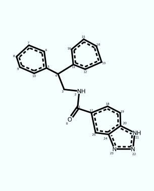 O=C(NCC(c1ccccc1)c1ccccc1)c1ccc2[nH]nnc2c1